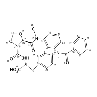 O=C(Nc1ccc(CC(NC(=O)[C@@H]2OCO[C@H]2C(=O)N(Cl)c2ccccc2)C(=O)O)cc1)c1ccccc1